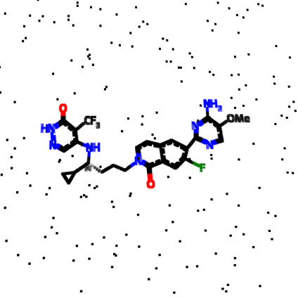 COc1cnc(-c2cc3ccn(CCC[C@@H](Nc4cn[nH]c(=O)c4C(F)(F)F)C4CC4)c(=O)c3cc2F)nc1N